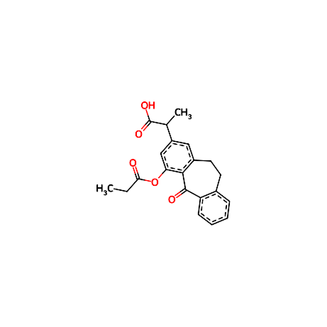 CCC(=O)Oc1cc(C(C)C(=O)O)cc2c1C(=O)c1ccccc1CC2